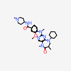 COc1cc(C(=O)NC2CCN(C)CC2)ccc1N(C)c1ncc2c(n1)N(C1CCCCC1)CC(C)C(=O)N2C